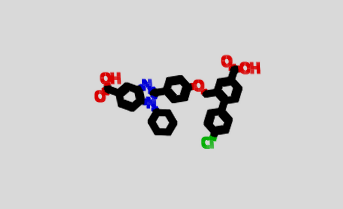 O=C(O)c1ccc(-c2ccc(Cl)cc2)c(COc2ccc(-c3nc4cc(C(=O)O)ccc4n3C3CCCCC3)cc2)c1